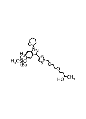 CC(O)CCOCCOCc1nc(-c2nn(C3CCCCO3)c3ccc(O[Si](C)(C)C(C)(C)C)cc23)cs1